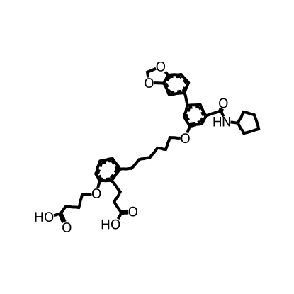 O=C(O)CCCOc1cccc(CCCCCCOc2cc(C(=O)NC3CCCC3)cc(-c3ccc4c(c3)OCO4)c2)c1CCC(=O)O